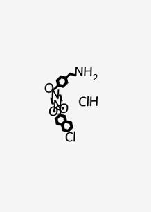 Cl.NCCc1ccc(C(=O)N2CCN(S(=O)(=O)c3ccc4cc(Cl)ccc4c3)CC2)cc1